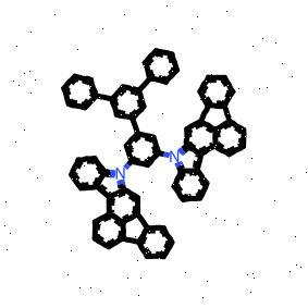 c1ccc(-c2cc(-c3ccccc3)cc(-c3cc(-n4c5ccccc5c5c6cccc7c6c(cc54)-c4ccccc4-7)cc(-n4c5ccccc5c5c6cccc7c6c(cc54)-c4ccccc4-7)c3)c2)cc1